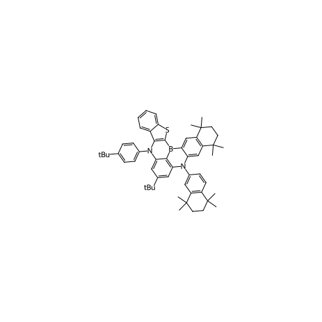 CC(C)(C)c1ccc(N2c3cc(C(C)(C)C)cc4c3B(c3cc5c(cc3N4c3ccc4c(c3)C(C)(C)CCC4(C)C)C(C)(C)CCC5(C)C)c3sc4ccccc4c32)cc1